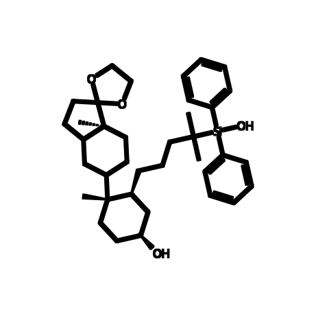 CC(C)(CCC[C@H]1C[C@@H](O)CC[C@]1(C)C1CC[C@@]2(C)C(CCC23OCCO3)C1)[Si](O)(c1ccccc1)c1ccccc1